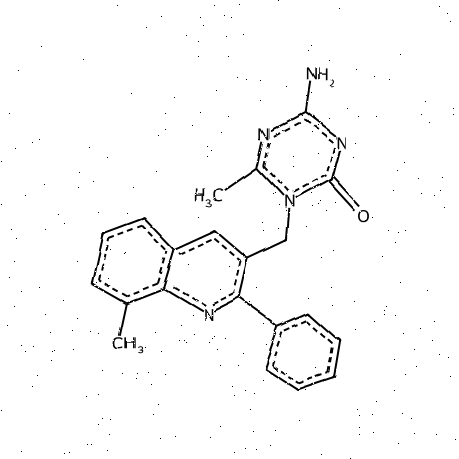 Cc1cccc2cc(Cn3c(C)nc(N)nc3=O)c(-c3ccccc3)nc12